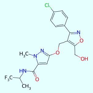 CC(NC(=O)c1cc(OCc2c(-c3ccc(Cl)cc3)noc2CO)nn1C)C(F)(F)F